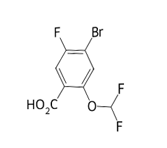 O=C(O)c1cc(F)c(Br)cc1OC(F)F